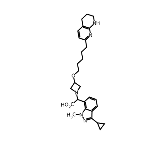 Cn1nc(C2CC2)c2cccc(C(C(=O)O)N3CC(OCCCCCc4ccc5c(n4)NCCC5)C3)c21